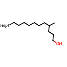 CCCCCCCCCCCCCCC(C)CCCO